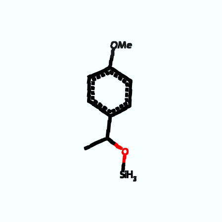 COc1ccc(C(C)O[SiH3])cc1